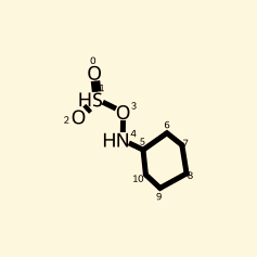 O=[SH](=O)ONC1CCCCC1